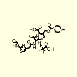 CN1CCN(C(=O)OCC2=C(C(=O)O)N3C(=O)C(NC(=O)Cc4csc(NC=O)n4)[C@@H]3SC2)CC1.O=C(O)C(F)(F)F